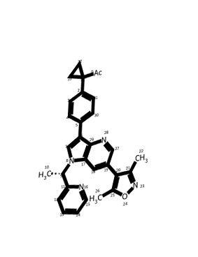 CC(=O)C1(c2ccc(-c3cn([C@@H](C)c4ccccn4)c4cc(-c5c(C)noc5C)cnc34)cc2)CC1